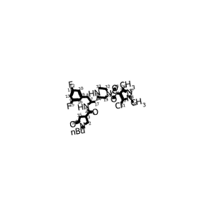 CCCCN1CC(C(=O)NC(Cc2cc(F)cc(F)c2)C[C@H]2CN(S(=O)(=O)c3c(C)nn(C)c3Cl)CCN2)CC1=O